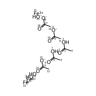 CC(=O)O.CC(=O)O.CC(=O)[O-].CC(=O)[O-].CC(=O)[O-].[Fe+3].[Fe+3].[Fe].[OH-].[OH-].[OH-]